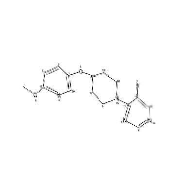 COc1ccc(OC2CCN(c3ncncc3Br)CC2)cn1